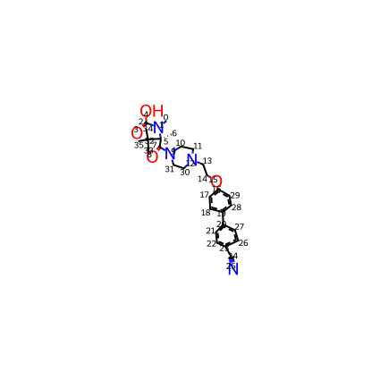 CN(C(=O)O)[C@@](C)(C(=O)N1CCN(CCOc2ccc(-c3ccc(C#N)cc3)cc2)CC1)C(C)(C)C